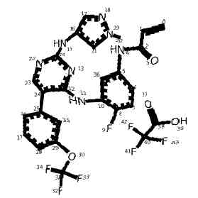 C=CC(=O)Nc1ccc(F)c(Nc2nc(Nc3cnn(C)c3)ncc2-c2cccc(OC(F)(F)F)c2)c1.O=C(O)C(F)(F)F